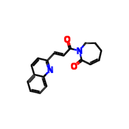 O=C1C=CCCCN1C(=O)C=Cc1ccc2ccccc2n1